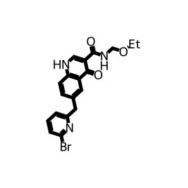 CCOCNC(=O)c1c[nH]c2ccc(Cc3cccc(Br)n3)cc2c1=O